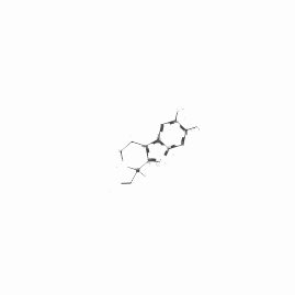 CCCC1(CC(=O)O)OCCc2c1[nH]c1cc(Cl)c(Cl)cc21